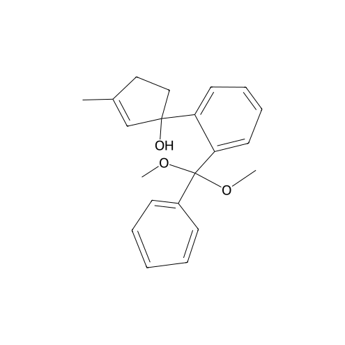 COC(OC)(c1ccccc1)c1ccccc1C1(O)C=C(C)CC1